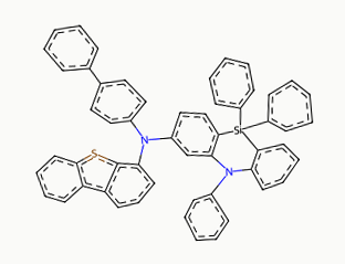 c1ccc(-c2ccc(N(c3ccc4c(c3)N(c3ccccc3)c3ccccc3[Si]4(c3ccccc3)c3ccccc3)c3cccc4c3sc3ccccc34)cc2)cc1